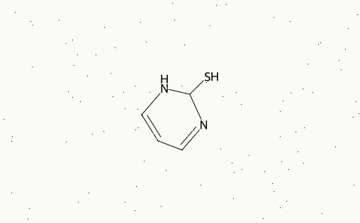 SC1N=CC=CN1